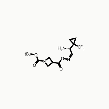 CC(C)(C)OC(=O)N1CC(C(=O)O/N=C\[C@H](N)C2(C(F)(F)F)CC2)C1